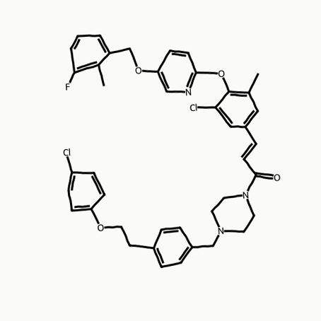 Cc1cc(C=CC(=O)N2CCN(Cc3ccc(CCOc4ccc(Cl)cc4)cc3)CC2)cc(Cl)c1Oc1ccc(OCc2cccc(F)c2C)cn1